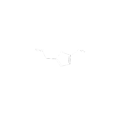 CNCc1ccc(OC)o1